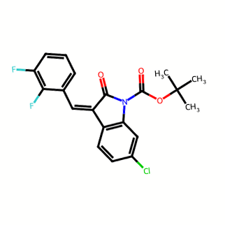 CC(C)(C)OC(=O)N1C(=O)C(=Cc2cccc(F)c2F)c2ccc(Cl)cc21